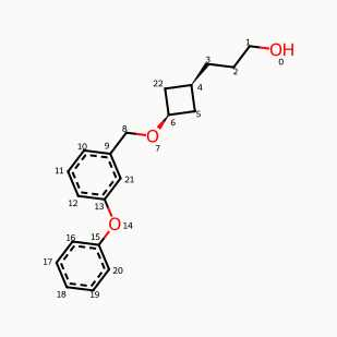 OCCC[C@H]1C[C@@H](OCc2cccc(Oc3ccccc3)c2)C1